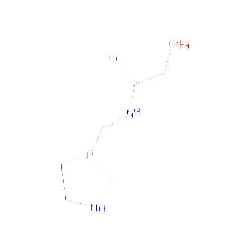 O=C(CO)NCP1CCNC1